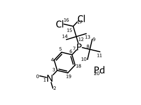 CN(C)c1ccc(P(C(C)(C)C)C(C)(C)C(Cl)Cl)cc1.[Pd]